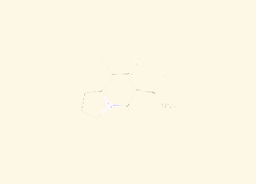 CNC(=O)c1c(O)c(C)c2n(c1=O)CCC2